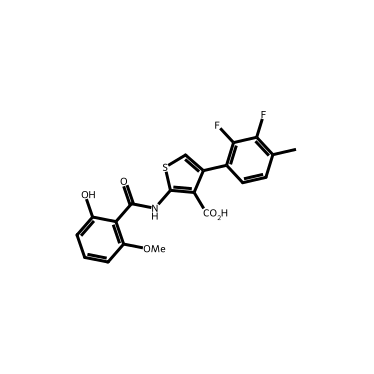 COc1cccc(O)c1C(=O)Nc1scc(-c2ccc(C)c(F)c2F)c1C(=O)O